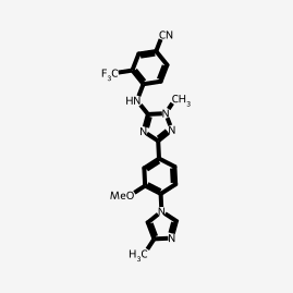 COc1cc(-c2nc(Nc3ccc(C#N)cc3C(F)(F)F)n(C)n2)ccc1-n1cnc(C)c1